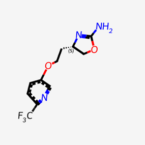 NC1=N[C@@H](CCOc2ccc(C(F)(F)F)nc2)CO1